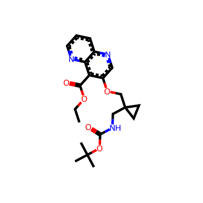 CCOC(=O)c1c(OCC2(CNC(=O)OC(C)(C)C)CC2)cnc2cccnc12